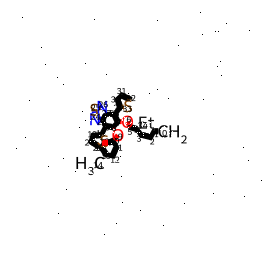 C=C/C=C\C(=C\Oc1c(Oc2ccc(C)cc2)c(-c2cccs2)c2nsnc2c1-c1cccs1)CC